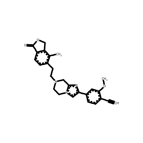 C#Cc1ccc(-c2cn3c(n2)CN(CCc2ccc4c(c2C)COC4=O)CC3)cc1OC